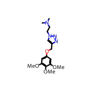 COc1cc(OCc2cn(CCN(C)C)nn2)cc(OC)c1OC